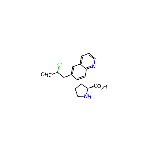 O=C(O)[C@@H]1CCCN1.O=CC(Cl)Cc1ccc2ncccc2c1